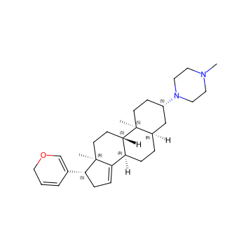 CN1CCN([C@H]2CC[C@@]3(C)[C@H](CC[C@H]4C5=CC[C@H](C6=COCC=C6)[C@@]5(C)CC[C@@H]43)C2)CC1